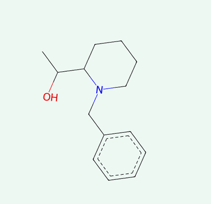 CC(O)C1CCCCN1Cc1ccccc1